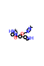 CC(C)N1CCN(CCCOc2cc(C(=O)N3CC[C@H](C)Nc4ccccc43)ccc2-c2ccc3[nH]ccc3c2)CC1